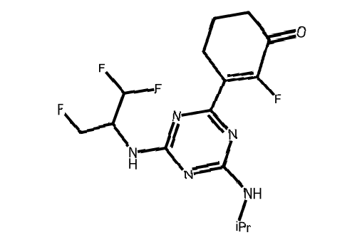 CC(C)Nc1nc(NC(CF)C(F)F)nc(C2=C(F)C(=O)CCC2)n1